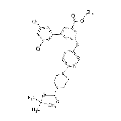 COC(=O)c1cc(Oc2ccc(N3CCN(C(=O)OC(C)(C)C)CC3)nc2)cc(-c2cc(Cl)cc(Cl)c2)c1